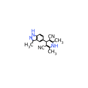 CC1=C(C#N)C(c2ccc3[nH]nc(C)c3c2)C(C#N)=C(C)N1